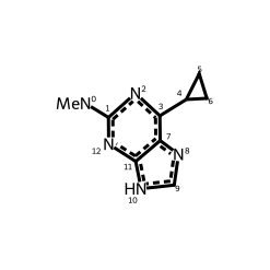 CNc1nc(C2CC2)c2nc[nH]c2n1